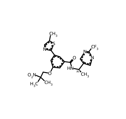 Cc1cnc(-c2cc(OCC(C)(C)[N+](=O)[O-])cc(C(=O)N[C@H](C)c3cnc(C(F)(F)F)nc3)c2)s1